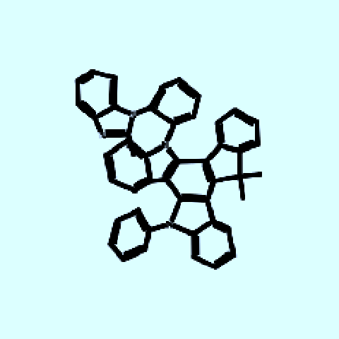 Cc1nc2ccccc2n1-c1ccccc1-n1c2ccccc2c2c1c1c(c3c4ccccc4n(-c4ccccc4)c32)C(C)(C)c2ccccc2-1